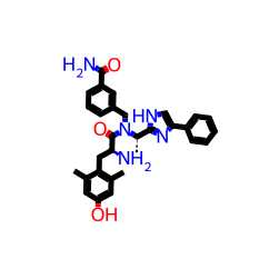 Cc1cc(O)cc(C)c1C[C@H](N)C(=O)N(Cc1cccc(C(N)=O)c1)[C@@H](C)c1nc(-c2ccccc2)c[nH]1